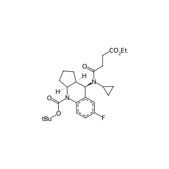 CCOC(=O)CCC(=O)N(C1CC1)[C@H]1c2cc(F)ccc2N(C(=O)OC(C)(C)C)[C@H]2CCC[C@H]21